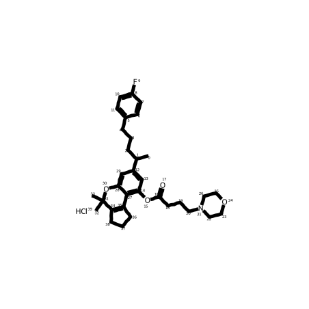 CC(CCCc1ccc(F)cc1)c1cc(OC(=O)CCCN2CCOCC2)c2c(c1)OC(C)(C)C1=C2CCC1.Cl